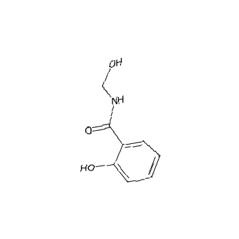 O=C(NCO)c1ccccc1O